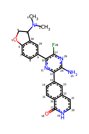 CN(C)C1COc2ccc(-c3nc(-c4ccc5c(=O)[nH]ccc5c4)c(N)nc3F)cc21